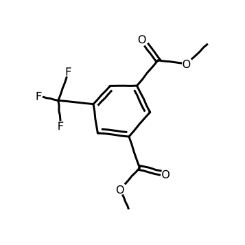 COC(=O)c1cc(C(=O)OC)cc(C(F)(F)F)c1